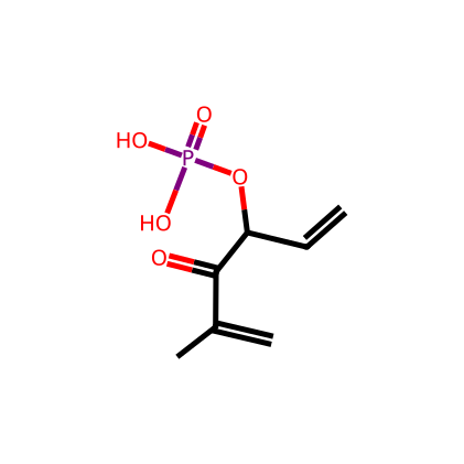 C=CC(OP(=O)(O)O)C(=O)C(=C)C